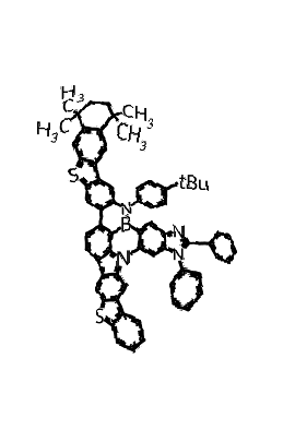 CC(C)(C)c1ccc(N2B3c4cc5nc(-c6ccccc6)n(-c6ccccc6)c5cc4-n4c5cc6c(cc5c5ccc(c3c54)-c3cc4sc5cc7c(cc5c4cc32)C(C)(C)CCC7(C)C)sc2ccccc26)cc1